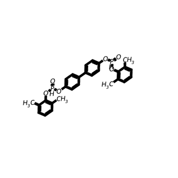 Cc1cccc(C)c1O[PH](=O)Oc1ccc(-c2ccc(O[PH](=O)Oc3c(C)cccc3C)cc2)cc1